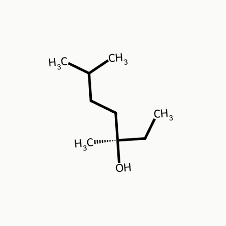 CC[C@@](C)(O)CCC(C)C